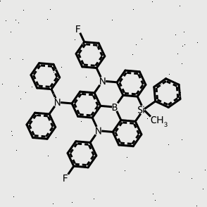 C[Si]1(c2ccccc2)c2cccc3c2B2c4c(cc(N(c5ccccc5)c5ccccc5)cc4N(c4ccc(F)cc4)c4cccc1c42)N3c1ccc(F)cc1